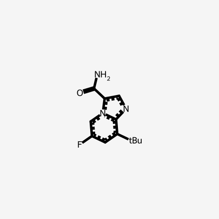 CC(C)(C)c1cc(F)cn2c(C(N)=O)cnc12